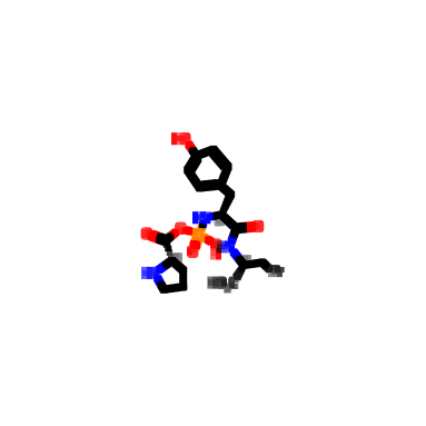 CC(C)C[C@H](NC(=O)[C@H](Cc1ccc(O)cc1)NP(=O)(O)OC(=O)[C@@H]1CCCN1)C(=O)O